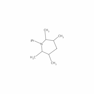 CC1CC(C)C(C)N(C(C)C)C1C